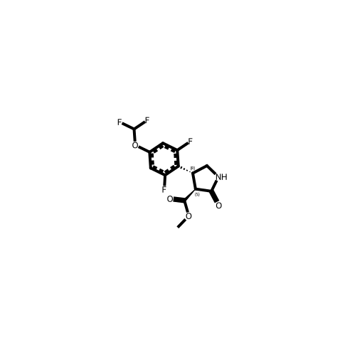 COC(=O)[C@@H]1C(=O)NC[C@H]1c1c(F)cc(OC(F)F)cc1F